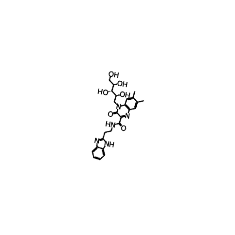 Cc1cc2nc(C(=O)NCCc3nc4ccccc4[nH]3)c(=O)n(C[C@H](O)[C@H](O)[C@H](O)CO)c2cc1C